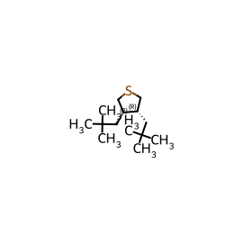 CC(C)(C)C[C@H]1CSC[C@@H]1CC(C)(C)C